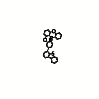 O=P12c3ccccc3Oc3cccc(c31)Oc1cc(-c3cccc4c3sc3ccccc34)ccc12